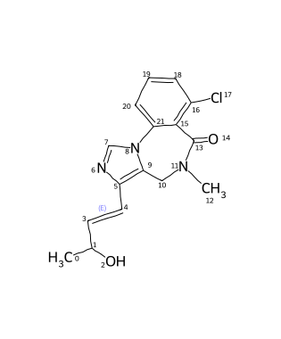 CC(O)/C=C/c1ncn2c1CN(C)C(=O)c1c(Cl)cccc1-2